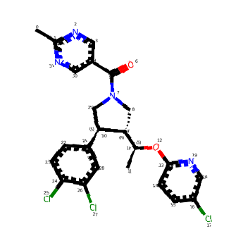 Cc1ncc(C(=O)N2C[C@H]([C@H](C)Oc3ccc(Cl)cn3)[C@@H](c3ccc(Cl)c(Cl)c3)C2)cn1